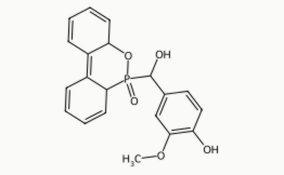 COc1cc(C(O)P2(=O)OC3C=CC=CC3=C3C=CC=CC32)ccc1O